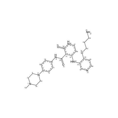 CN1CCN(c2ccc(NC(=O)c3c(Nc4cnccc4OCCCN)cc[nH]c3=O)cc2)CC1